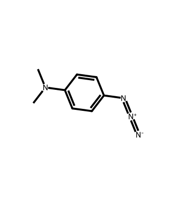 CN(C)c1ccc(N=[N+]=[N-])cc1